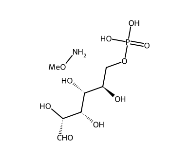 CON.O=C[C@H](O)[C@@H](O)[C@H](O)[C@H](O)COP(=O)(O)O